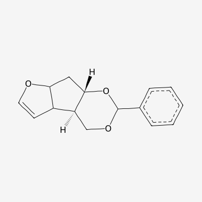 C1=CC2C(C[C@@H]3OC(c4ccccc4)OC[C@@H]23)O1